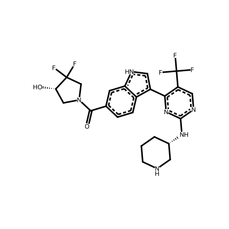 O=C(c1ccc2c(-c3nc(N[C@H]4CCCNC4)ncc3C(F)(F)F)c[nH]c2c1)N1C[C@H](O)C(F)(F)C1